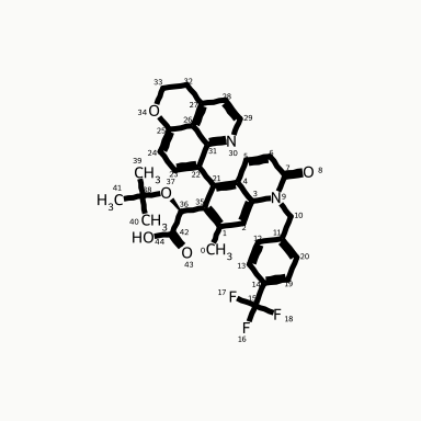 Cc1cc2c(ccc(=O)n2Cc2ccc(C(F)(F)F)cc2)c(-c2ccc3c4c(ccnc24)CCO3)c1[C@H](OC(C)(C)C)C(=O)O